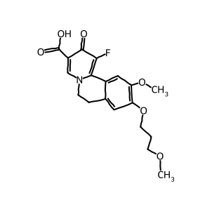 COCCCOc1cc2c(cc1OC)-c1c(F)c(=O)c(C(=O)O)cn1CC2